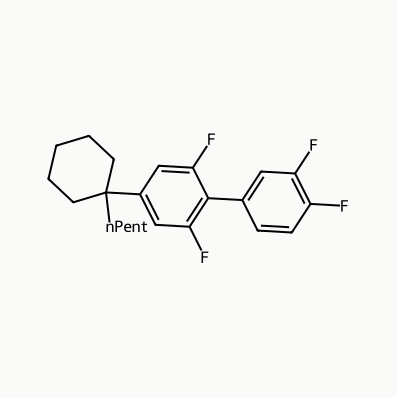 CCCCCC1(c2cc(F)c(-c3ccc(F)c(F)c3)c(F)c2)CCCCC1